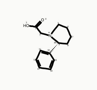 O=C(O)CN1CCCC[C@@H]1c1ccccc1